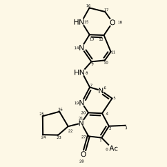 CC(=O)c1c(C)c2cnc(Nc3ccc4c(n3)NCCO4)nc2n(C2CCCC2)c1=O